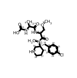 COCC(NC(=O)C(C)NC(=O)O)C(=O)N(C)[C@@]1(Cc2ccc(Cl)cc2)CCCNC1